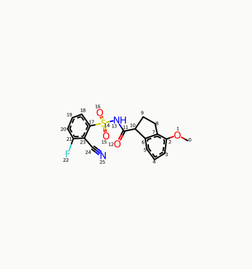 COc1cccc2c1CCC2C(=O)NS(=O)(=O)c1cccc(F)c1C#N